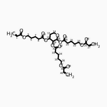 C=CC(=O)OCCCCC(=O)OC1CCOC(OC(=O)CCCCOC(=O)C=C)C1OC(=O)CCCCOC(=O)C=C